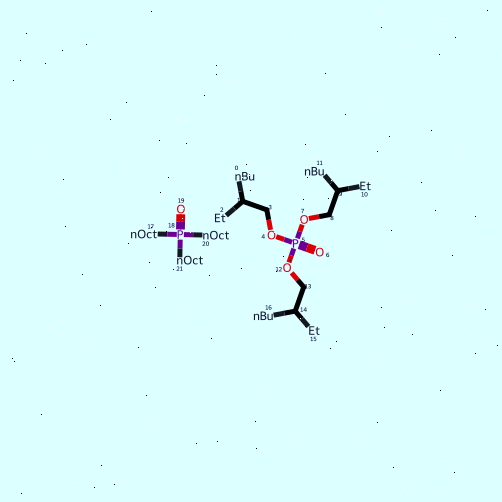 CCCCC(CC)COP(=O)(OCC(CC)CCCC)OCC(CC)CCCC.CCCCCCCCP(=O)(CCCCCCCC)CCCCCCCC